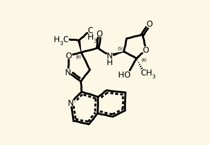 CC(C)[C@@]1(C(=O)N[C@H]2CC(=O)O[C@@]2(C)O)CC(c2nccc3ccccc23)=NO1